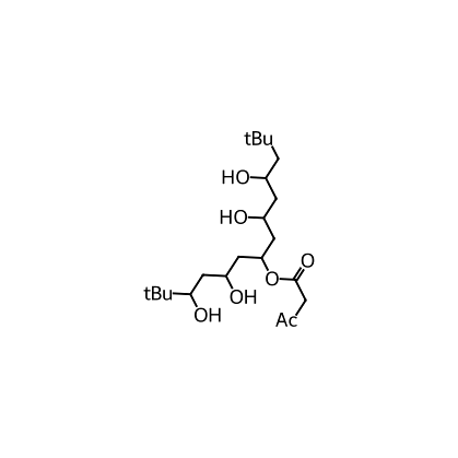 CC(=O)CC(=O)OC(CC(O)CC(O)CC(C)(C)C)CC(O)CC(O)C(C)(C)C